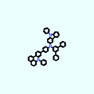 C1=CC(c2cc(-c3ccccc3)cc(N(c3ccc(-c4ccc5c(c4)N(c4ccccc4)C4=CCCc6cccc-5c64)cc3)c3ccc4c(c3)c3ccccc3n4-c3ccccc3)c2)=CCC1